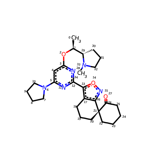 C[C@H](Oc1cc(N2CCCC2)nc(-c2onc3c2CCC[C@@]32CCCCC2=O)n1)[C@@H]1CCCN1C